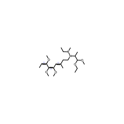 C\C=C(OC)/C(OC)=C(\C=C(/C)CCN(C(C)C(OC)OCC)N(C)CC)OC